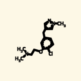 CN(C)CCOc1cc(Cc2cnn(C)c2)ccc1Cl